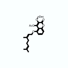 CCCCCCCCCCOc1c(OC(C)=O)c2c(OCC=C(C)CCC=C(C)C)cccc2oc1=O